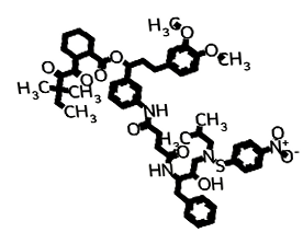 CCC(C)(C)C(=O)C(=O)C1CCCCC1C(=O)OC(CCc1ccc(OC)c(OC)c1)c1cccc(NC(=O)CCC(=O)NC(Cc2ccccc2)C(O)CN(CC(C)C)Sc2ccc([N+](=O)[O-])cc2)c1